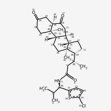 CC(C)[C@@H](NC(=O)C[C@@H](C)[C@H]1CC[C@H]2[C@@H]3CC(=O)[C@@H]4CC(=O)CC[C@]4(C)[C@H]3CC[C@]12C)c1ccc(Cl)s1